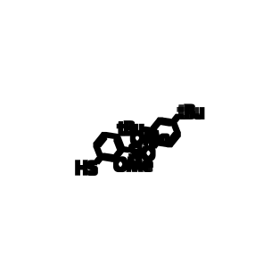 CO[Si](OC)(Oc1ccc(C(C)(C)C)cc1C(C)(C)C)c1cccc(S)c1